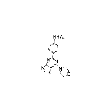 CC(=O)Nc1ccc(-c2nc(N3CCOCC3)c3scnc3n2)cc1